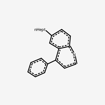 CCCCCCCc1ccc2nccc(-c3ccccc3)c2c1